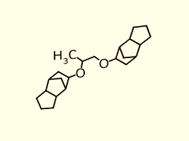 CC(COC1CC2CC1C1CCCC21)OC1CC2CC1C1CCCC21